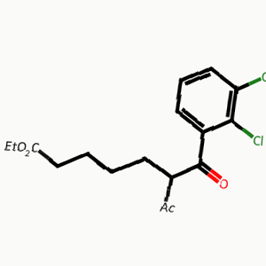 CCOC(=O)CCCCC(C(C)=O)C(=O)c1cccc(Cl)c1Cl